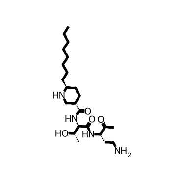 CCCCCCCC[C@H]1CC[C@H](C(=O)N[C@H](C(=O)N[C@@H](CCN)C(C)=O)[C@H](C)O)CN1